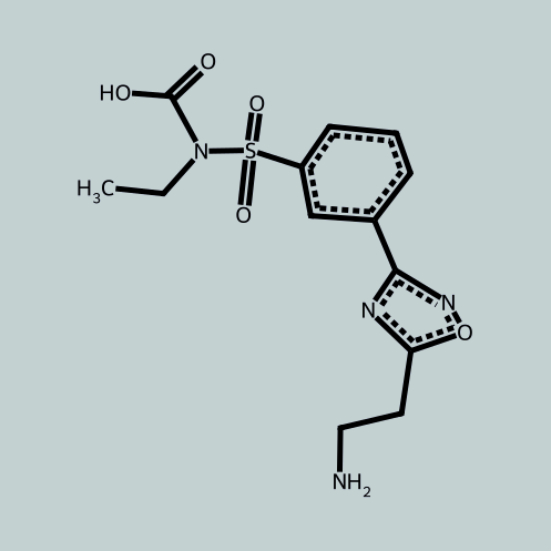 CCN(C(=O)O)S(=O)(=O)c1cccc(-c2noc(CCN)n2)c1